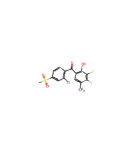 CS(=O)(=O)c1ccc(C(=O)c2cc(C(F)(F)F)c(F)c(F)c2O)c(Cl)c1